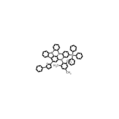 Cc1cc(C)c(B2c3cc([Si](c4ccccc4)(c4ccccc4)c4ccccc4)ccc3N3c4ccccc4B4c5ccccc5-c5c(-c6ccc(-c7ccccc7)s6)cc2c3c54)c(C)c1